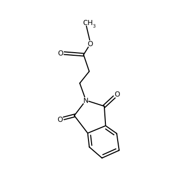 COC(=O)CCN1C(=O)c2ccccc2C1=O